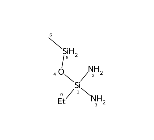 CC[Si](N)(N)O[SiH2]C